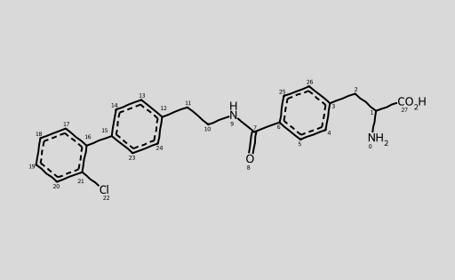 NC(Cc1ccc(C(=O)NCCc2ccc(-c3ccccc3Cl)cc2)cc1)C(=O)O